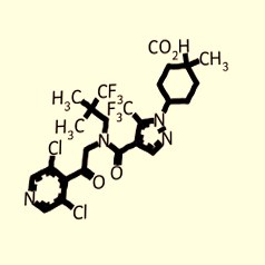 CC1(C(=O)O)CCC(n2ncc(C(=O)N(CC(=O)c3c(Cl)cncc3Cl)CC(C)(C)C(F)(F)F)c2C(F)(F)F)CC1